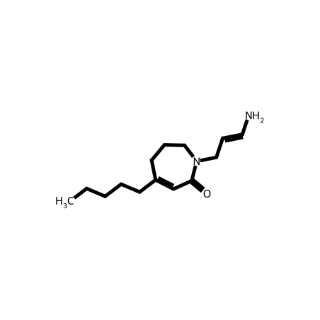 CCCCCC1=CC(=O)N(CC=CN)CCC1